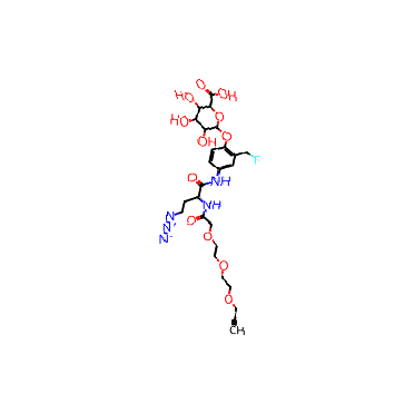 C#CCOCCOCCOCC(=O)NC(CCN=[N+]=[N-])C(=O)Nc1ccc(OC2OC(C(=O)O)C(O)C(O)C2O)c(CF)c1